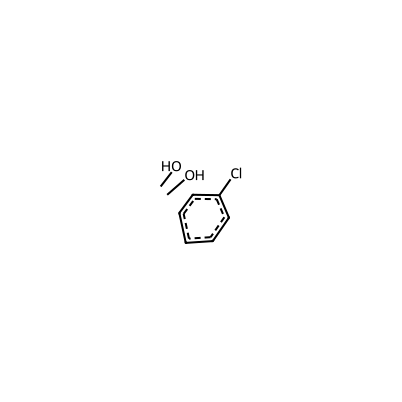 CO.CO.Clc1ccccc1